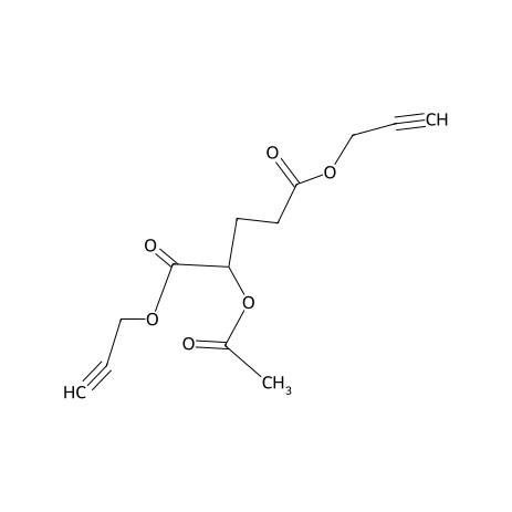 C#CCOC(=O)CCC(OC(C)=O)C(=O)OCC#C